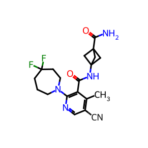 Cc1c(C#N)cnc(N2CCCC(F)(F)CC2)c1C(=O)NC12CC(C(N)=O)(C1)C2